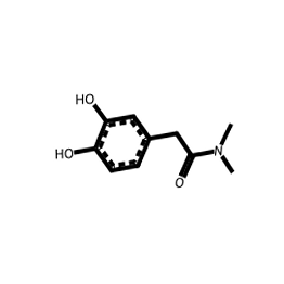 CN(C)C(=O)Cc1ccc(O)c(O)c1